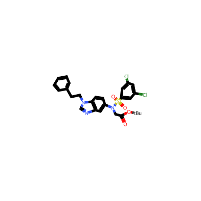 CC(C)(C)OC(=O)CN(c1ccc2c(c1)ncn2CCc1ccccc1)S(=O)(=O)c1cc(Cl)cc(Cl)c1